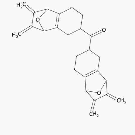 C=C1C(=C)C2OC1C1=C2CC(C(=O)C2CCC3=C(C2)C2OC3C(=C)C2=C)CC1